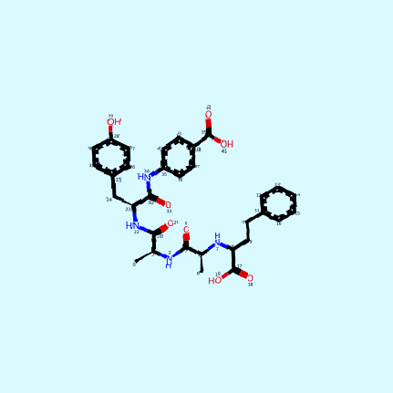 C[C@H](NC(=O)[C@H](C)NC(CCc1ccccc1)C(=O)O)C(=O)N[C@@H](Cc1ccc(O)cc1)C(=O)Nc1ccc(C(=O)O)cc1